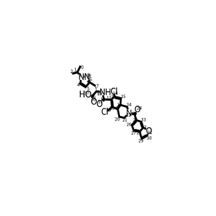 CC(C)n1ccc(C[C@H](NC(=O)c2c(Cl)cc3c(c2Cl)CCN(C(=O)c2ccc4ccoc4c2)C3)C(=O)O)n1